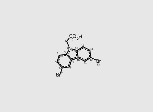 O=C(O)Cn1c2ccc(Br)cc2c2cc(Br)ccc21